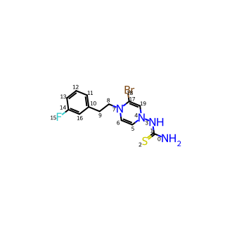 NC(=S)NN1C=CN(CCc2cccc(F)c2)C(Br)=C1